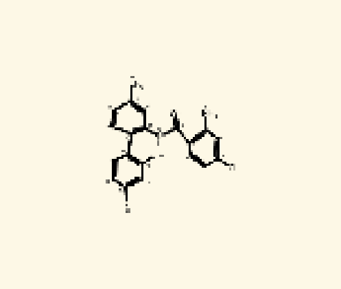 Nc1cc(Cl)ccc1C(=O)Nc1cc(C(F)(F)F)ccc1-c1ccc(F)cc1F